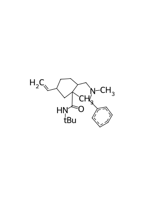 C=CC1CCC(CN(C)Cc2ccccc2)C(C)(C(=O)NC(C)(C)C)C1